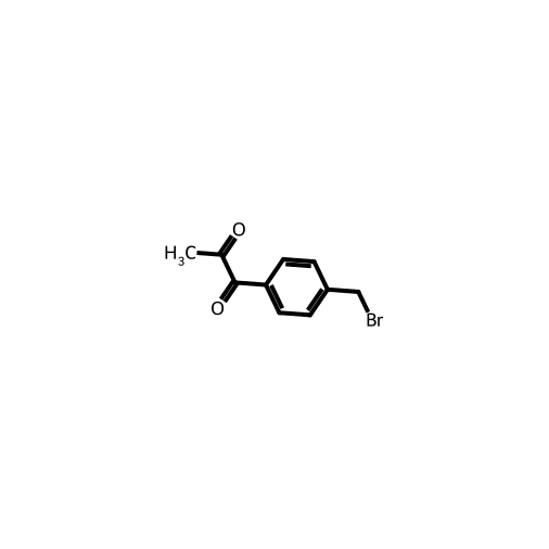 CC(=O)C(=O)c1ccc(CBr)cc1